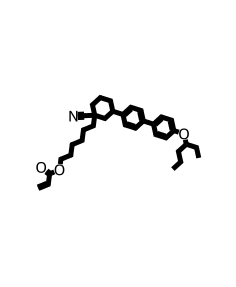 C=CC(=O)OCCCCCCC1(C#N)CCCC(c2ccc(-c3ccc(OC(CC)CCC)cc3)cc2)C1